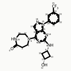 O=C1CCN(c2nc(N[C@H]3C[C@@H](O)C3)nc3c2cnn3-c2cccc(C(F)(F)F)c2)CCN1